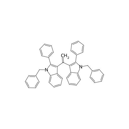 C=C(c1c(-c2ccccc2)n(Cc2ccccc2)c2ccccc12)c1c(-c2ccccc2)n(Cc2ccccc2)c2ccccc12